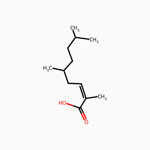 CC(=CCC(C)CCC(C)C)C(=O)O